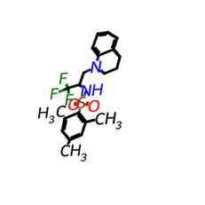 Cc1cc(C)c(S(=O)(=O)NC(CN2CCCc3ccccc32)C(F)(F)F)c(C)c1